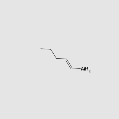 CCC/C=[CH]/[AlH2]